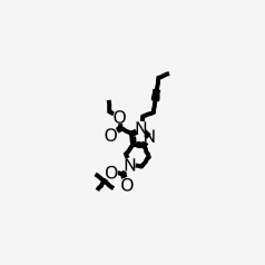 CCC#CCCn1nc2c(c1C(=O)OCC)CN(C(=O)OC(C)(C)C)CC2